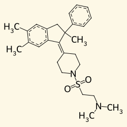 Cc1cc2c(cc1C)C(=C1CCN(S(=O)(=O)CCN(C)C)CC1)C(C)(c1ccccc1)C2